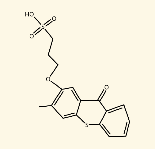 Cc1cc2sc3ccccc3c(=O)c2cc1OCCCS(=O)(=O)O